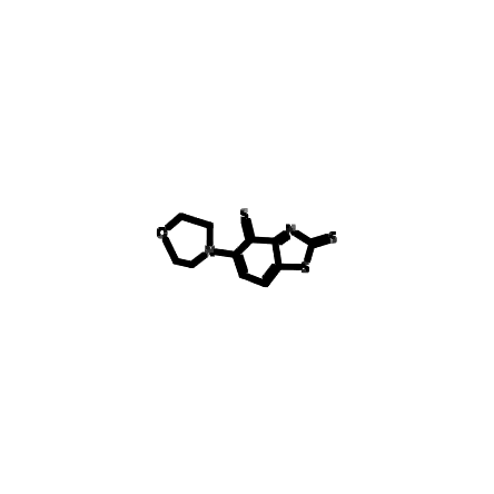 S=C1N=C2C(=S)C(N3CCOCC3)=CC=C2S1